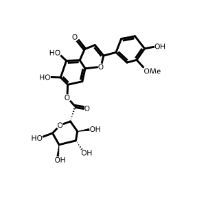 COc1cc(-c2cc(=O)c3c(O)c(O)c(OC(=O)[C@H]4OC(O)[C@H](O)[C@@H](O)[C@@H]4O)cc3o2)ccc1O